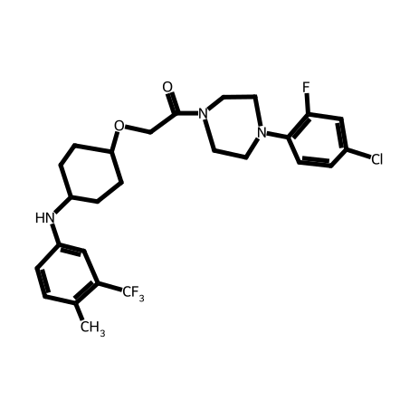 Cc1ccc(NC2CCC(OCC(=O)N3CCN(c4ccc(Cl)cc4F)CC3)CC2)cc1C(F)(F)F